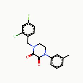 Cc1cccc(N2CCN(Cc3ccc(F)cc3Cl)C(=O)C2=O)c1